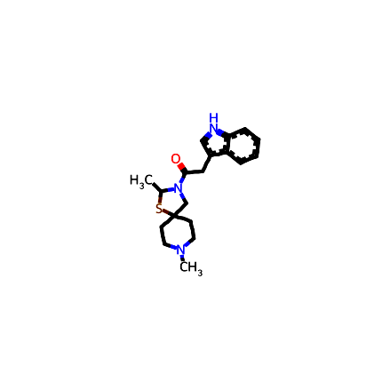 CC1SC2(CCN(C)CC2)CN1C(=O)Cc1c[nH]c2ccccc12